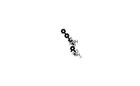 Cc1ccc(Oc2nc3cc(-c4ccc(-c5ccccc5)cc4)sc3[nH]2)cc1C(=O)ON